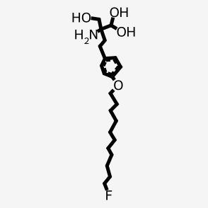 NC(CO)(CCc1ccc(OCCCCCCCCCCCF)cc1)C(O)O